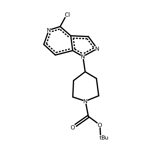 CC(C)(C)OC(=O)N1CCC(n2ncc3c(Cl)nccc32)CC1